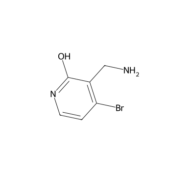 NCc1c(Br)ccnc1O